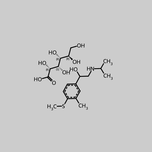 CSc1ccc(C(O)CNC(C)C)cc1C.O=C(O)[C@H](O)[C@@H](O)[C@H](O)[C@H](O)CO